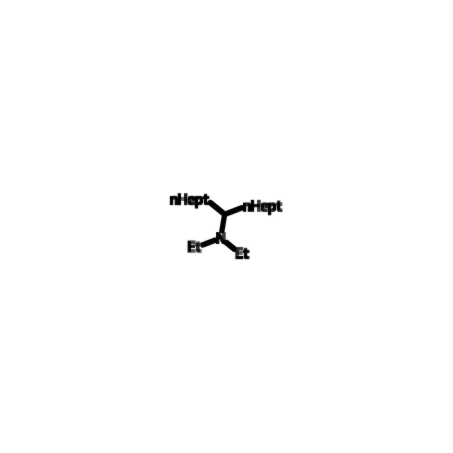 CCCCCCCC(CCCCCCC)N(CC)CC